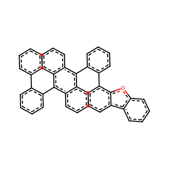 c1ccc(-c2ccccc2-c2c3ccccc3c(-c3ccccc3-c3cccc4c3oc3ccccc34)c3ccccc23)cc1